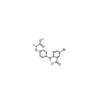 COC(=O)C(C)Oc1ccc(N(C)c2ncc(Br)cc2[N+](=O)[O-])cc1